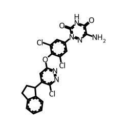 Nc1nn(-c2cc(Cl)c(Oc3cc(C4CCc5ccccc54)c(Cl)nn3)c(Cl)c2)c(=O)[nH]c1=O